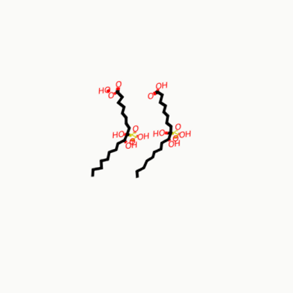 CCCCCCCCC(O)C(O)(CCCCCCCC(=O)O)S(=O)(=O)O.CCCCCCCCC(O)C(O)(CCCCCCCC(=O)OO)S(=O)(=O)O